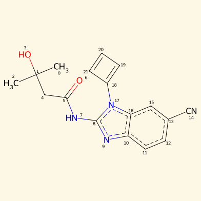 CC(C)(O)CC(=O)Nc1nc2ccc(C#N)cc2n1C1=CC=C1